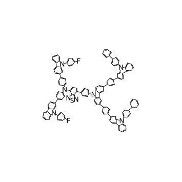 Fc1ccc(-n2c3ccccc3c3ccc(-c4ccc(N(c5ccc(-c6ccc7c8ccccc8n(-c8ccc(F)cc8)c7c6)cc5)c5ccc(-c6ccc(-n7c8ccc(-c9ccc(-c%10ccc%11c%12ccccc%12n(-c%12ccc(-c%13ccccc%13)cc%12)c%11c%10)cc9)cc8c8cc(-c9ccc(-c%10ccc%11c%12ccccc%12n(-c%12ccc(-c%13ccccc%13)cc%12)c%11c%10)cc9)ccc87)cc6)c6nsnc56)cc4)cc32)cc1